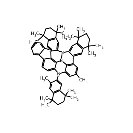 Cc1cc2c3c(c1)N(c1cc4c(cc1C)C(C)(C)CCC4(C)C)c1ccc4c(sc5ccccc54)c1B3N(c1ccc3c(c1)C(C)(C)CCC3(C)C)c1cc3c(cc1-2)C(C)(C)CCC3(C)C